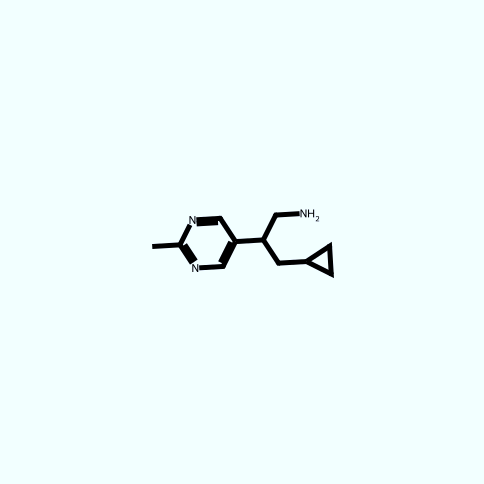 Cc1ncc(C(CN)CC2CC2)cn1